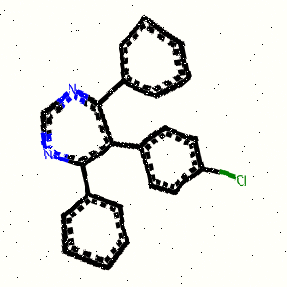 Clc1ccc(-c2c(-c3ccccc3)ncnc2-c2ccccc2)cc1